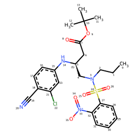 CCCN(C[C@H](CC(=O)OC(C)(C)C)Nc1ccc(C#N)c(Cl)c1)S(=O)(=O)c1ccccc1[N+](=O)[O-]